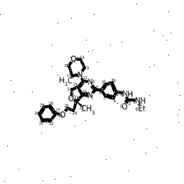 CCNC(=O)Nc1ccc(-c2nc(N3CCOC[C@@H]3C)c3c(n2)[C@](C)(CCOc2ccccc2)OC3)cc1